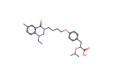 CCN1CN(CCCCOc2ccc(CC(OC(C)C)C(=O)O)cc2)C(=O)c2cc(C)ccc21